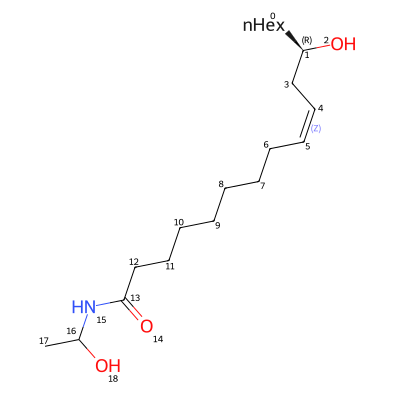 CCCCCC[C@@H](O)C/C=C\CCCCCCCC(=O)NC(C)O